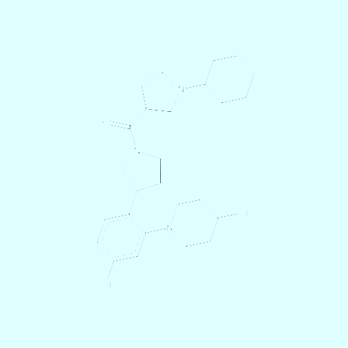 C=C(C1CCN(C2CCCCC2)C1)N1CCC(c2ccc(C(F)(F)F)cc2N2CCC(C)CC2)C1